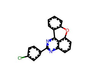 Clc1ccc(-c2nc3c4c(cccc4n2)Oc2ccccc2-3)cc1